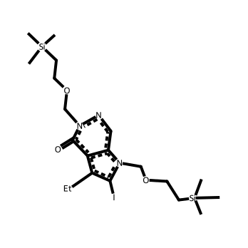 CCc1c(I)n(COCC[Si](C)(C)C)c2cnn(COCC[Si](C)(C)C)c(=O)c12